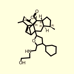 CC(C)C1=CC2CC3(C=O)[C@@H]4CC[C@@H](C)[C@H]4CC2(C2CC(C4CCCCC4)C(CNCCO)O2)[C@]13C(=O)O